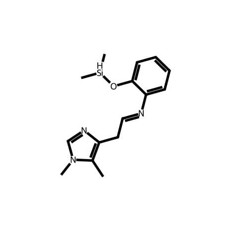 Cc1c(CC=Nc2ccccc2O[SiH](C)C)ncn1C